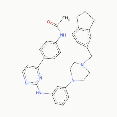 CC(=O)Nc1ccc(-c2ccnc(Nc3cccc(N4CCN(Cc5ccc6c(c5)CCC6)CC4)c3)n2)cc1